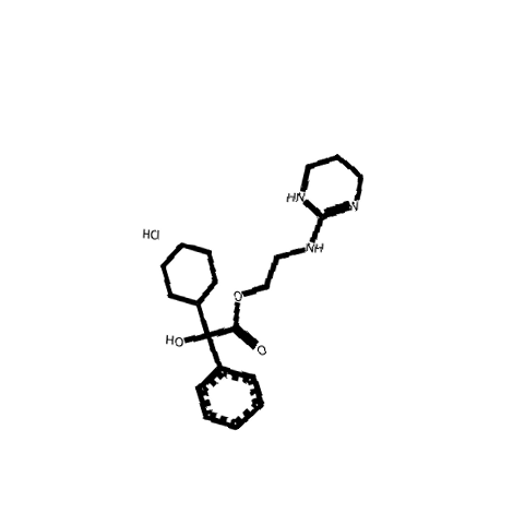 Cl.O=C(OCCNC1=NCCCN1)C(O)(c1ccccc1)C1CCCCC1